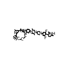 C=C1CCC(c2c(F)cc(N3CCC(N4CC(C)N(c5ccc6c(c5)N5CCCCCCc7c(cnn7C)-c7cc(cc(C)n7)C(=C)/N=C/5N6)CC4C)CC3)cc2F)C(=C)N1